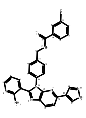 Nc1ncccc1-c1nc2ccc(-c3cn[nH]c3)nc2n1-c1ccc(CNC(=O)c2cccc(F)c2)cc1